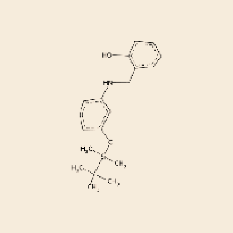 CC(C)(C)[Si](C)(C)Oc1cccc(NCc2ccccc2O)c1